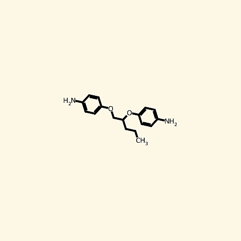 CCCC(COc1ccc(N)cc1)Oc1ccc(N)cc1